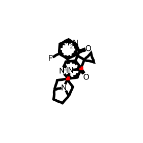 NC(=O)c1ccc(N2C3CCC2CC(NC(=O)C2(c4cccc(F)c4)CC2)C3)nc1